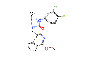 CCOc1ncc(CN(CC2CC2)C(=O)Nc2ccc(F)c(Cl)c2)c2ccccc12